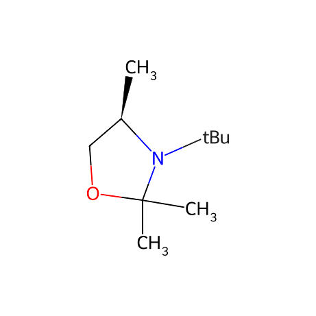 C[C@@H]1COC(C)(C)N1C(C)(C)C